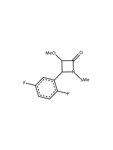 COC1C(=O)N(SC)C1c1cc(F)ccc1F